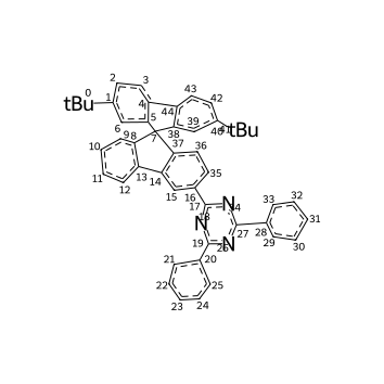 CC(C)(C)c1ccc2c(c1)C1(c3ccccc3-c3cc(-c4nc(-c5ccccc5)nc(-c5ccccc5)n4)ccc31)c1cc(C(C)(C)C)ccc1-2